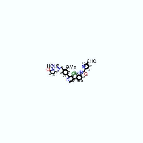 COc1cc(-c2nccc(-c3cccc(NC(=O)c4ccc(C=O)cn4)c3Cl)c2Cl)ccc1CN(C[C@@H]1CCC(=O)N1)C(=O)O